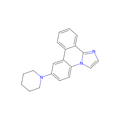 c1ccc2c(c1)c1cc(N3CCCCC3)ccc1n1ccnc21